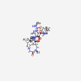 CCCC(NC(=O)[C@@H]1CN2CCC(C)(C)[C@H](NC(=O)[C@@H](NC(=O)NC(C)(C)C)C3CCCCC3)C(=O)C1CN(CC)C(=O)C2)C(=O)C(=O)NC1CC1